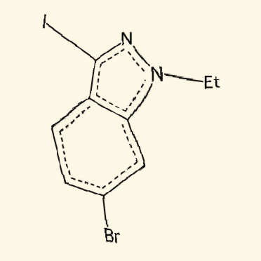 CCn1nc(I)c2ccc(Br)cc21